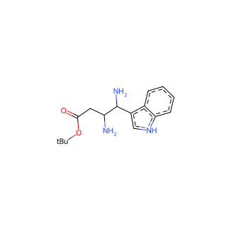 CC(C)(C)OC(=O)CC(N)C(N)c1c[nH]c2ccccc12